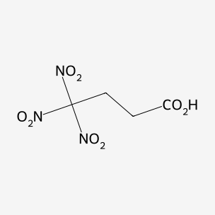 O=C(O)CCC([N+](=O)[O-])([N+](=O)[O-])[N+](=O)[O-]